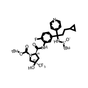 CC(C)(C)OC(=O)N1C[C@@](O)(C(F)(F)F)C[C@@H]1C(=O)Nc1cc(C(CCC2CC2)(N[S+]([O-])C(C)(C)C)c2ccncc2)ccc1F